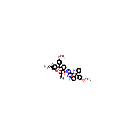 C#C[C@]1(COCOC(=O)C(C)C)O[C@@H](n2cnc3c(NC(c4ccccc4)(c4ccccc4)c4ccc(OC)cc4)nc(F)nc32)C[C@@H]1OC(c1ccccc1)(c1ccccc1)c1ccc(OC)cc1